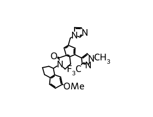 COc1ccc2c(c1)C(N1CCc3c(cc(Cn4ccnc4)cc3-c3cn(C)nc3C(F)(F)F)C1=O)CCC2